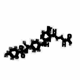 CC(=O)NCCNc1nc(Nc2ccc([S@](C)=NS(=O)(=O)c3ccc(C)cc3)cc2)ncc1Br